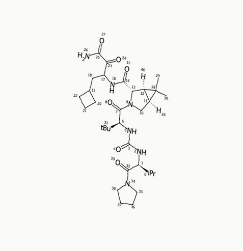 CC(C)[C@H](NC(=O)N[C@H](C(=O)N1C[C@H]2[C@@H]([C@H]1C(=O)NC(CC1CCC1)C(=O)C(N)=O)C2(C)C)C(C)(C)C)C(=O)N1CCCC1